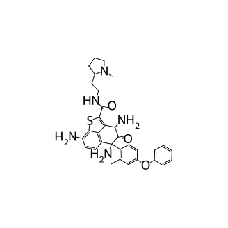 Cc1cc(Oc2ccccc2)ccc1C1(N)C(=O)C(N)c2c(C(=O)NCCC3CCCN3C)sc3c(N)ccc1c23